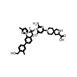 Cc1ccn(-c2cc(-c3ccc(CO)c(C)c3)ccc2[C@@H](Oc2cc(N3CCC4(CC3)CNC(C(=O)O)C4)nc(N)n2)C(F)(F)F)n1